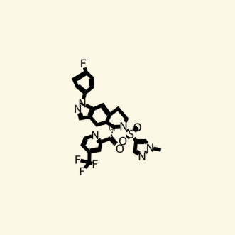 Cn1cc(S(=O)(=O)N2CCC3=Cc4c(cnn4-c4ccc(F)cc4)CC3[C@H]2C(=O)c2cc(C(F)(F)F)ccn2)cn1